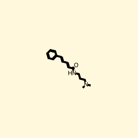 CN(C)CCCNC(=O)C=CC=Cc1ccccc1